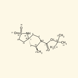 C[C@H]1C[C@]2(CCN1C(=O)OC(C)(C)C)CCS(=O)(=O)N2